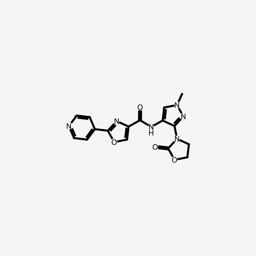 Cn1cc(NC(=O)c2coc(-c3c[c]ncc3)n2)c(N2CCOC2=O)n1